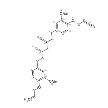 C=CCOc1ccc(CCC(=O)CC(=O)CCc2ccc(OCC=C)c(OC)c2)cc1OC